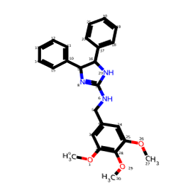 COc1cc(CNC2=NC(c3ccccc3)C(c3ccccc3)N2)cc(OC)c1OC